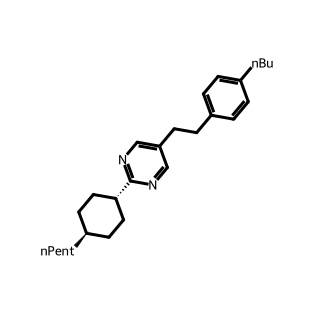 CCCCC[C@H]1CC[C@H](c2ncc(CCc3ccc(CCCC)cc3)cn2)CC1